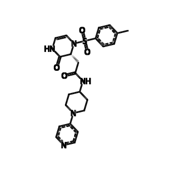 Cc1ccc(S(=O)(=O)N2C=CNC(=O)[C@H]2CC(=O)NC2CCN(c3ccncc3)CC2)cc1